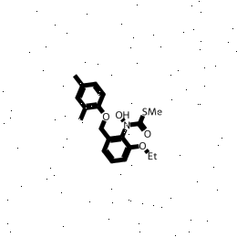 CCOc1cccc(COc2ccc(C)cc2C)c1N(O)C(=O)SC